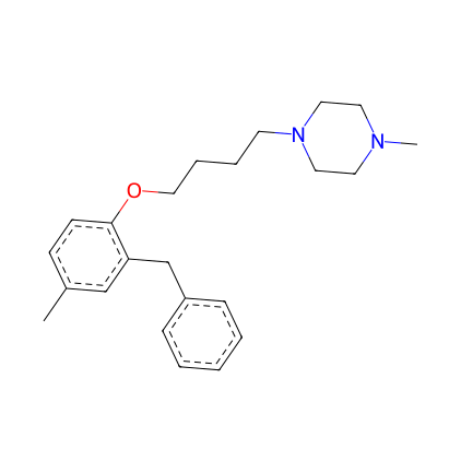 Cc1ccc(OCCCCN2CCN(C)CC2)c(Cc2ccccc2)c1